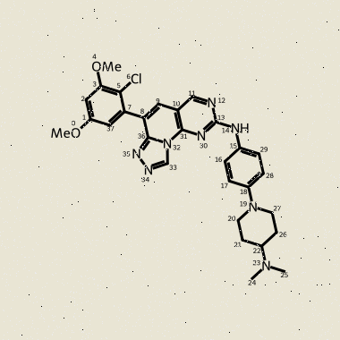 COc1cc(OC)c(Cl)c(-c2cc3cnc(Nc4ccc(N5CCC(N(C)C)CC5)cc4)nc3n3cnnc23)c1